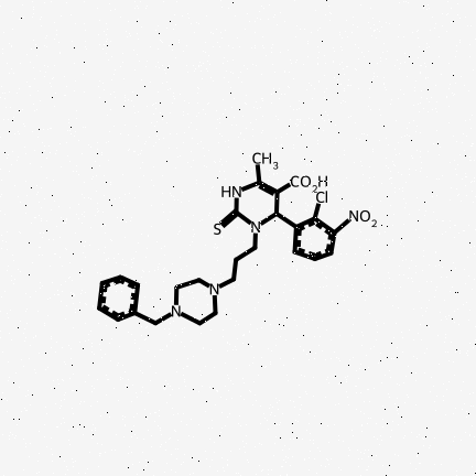 CC1=C(C(=O)O)C(c2cccc([N+](=O)[O-])c2Cl)N(CCCN2CCN(Cc3ccccc3)CC2)C(=S)N1